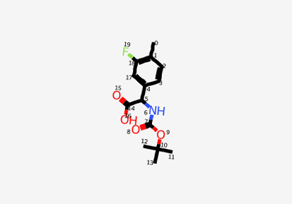 Cc1ccc(C(NC(=O)OC(C)(C)C)C(=O)O)cc1F